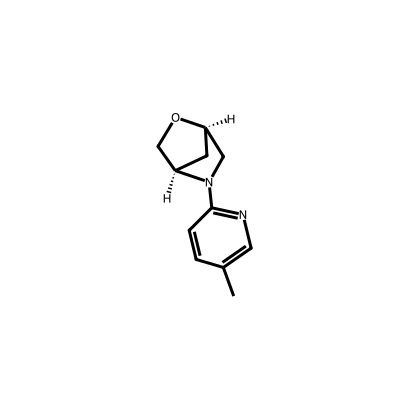 Cc1ccc(N2C[C@H]3C[C@@H]2CO3)nc1